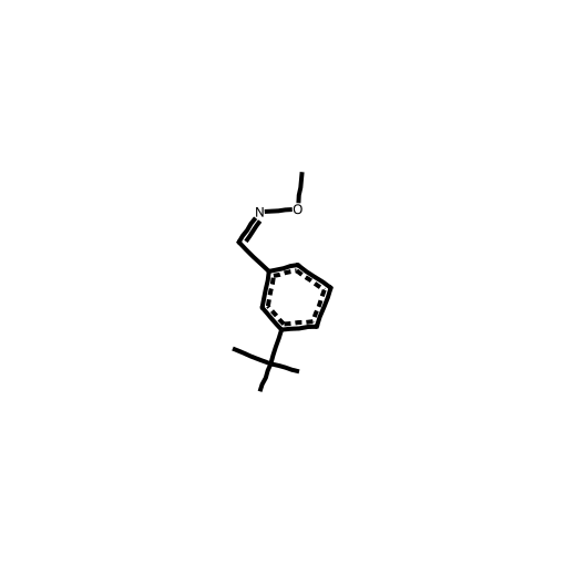 CO/N=C\c1cccc(C(C)(C)C)c1